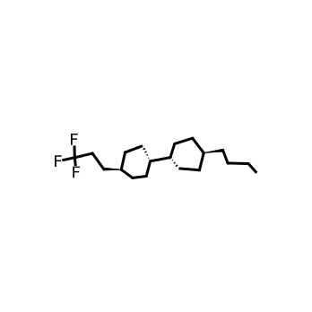 CCCC[C@H]1CC[C@H]([C@H]2CC[C@H](CCC(F)(F)F)CC2)CC1